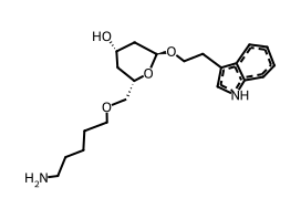 NCCCCCOC[C@@H]1C[C@H](O)C[C@@H](OCCc2c[nH]c3ccccc23)O1